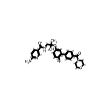 CC(C)(CNC(=O)c1ccc(N)nc1)Oc1ccc(F)c(-c2ccc(C(=O)N3CCOCC3)cc2)c1